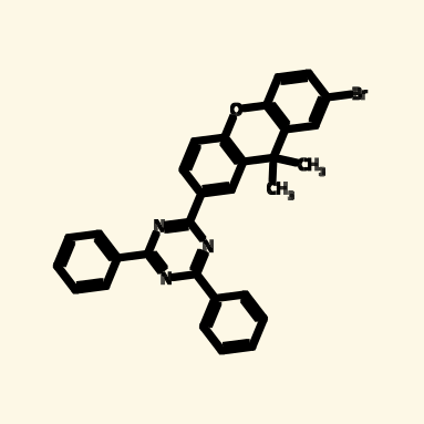 CC1(C)c2cc(Br)ccc2Oc2ccc(-c3nc(-c4ccccc4)nc(-c4ccccc4)n3)cc21